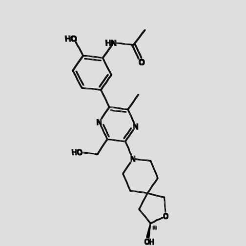 CC(=O)Nc1cc(-c2nc(CO)c(N3CCC4(CC3)CO[C@@H](O)C4)nc2C)ccc1O